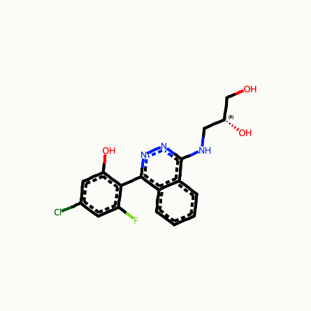 OC[C@H](O)CNc1nnc(-c2c(O)cc(Cl)cc2F)c2ccccc12